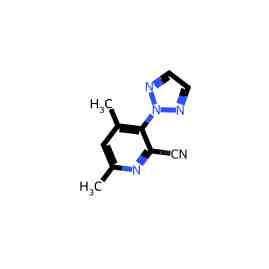 Cc1cc(C)c(-n2nccn2)c(C#N)n1